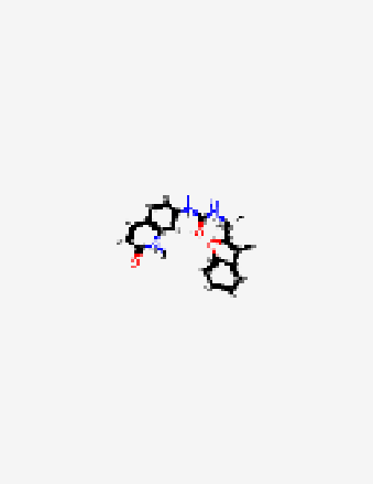 Cc1c([C@@H](C)NC(=O)Nc2ccc3ccc(=O)n(C)c3c2)oc2ccccc12